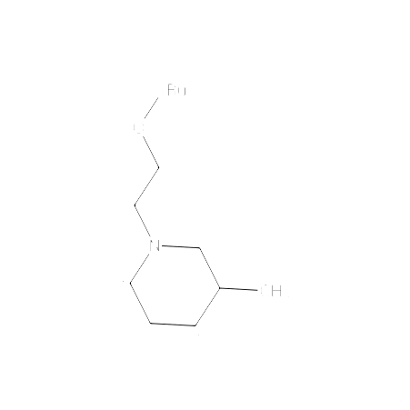 CC1CCCN(CCOC(C)(C)C)C1